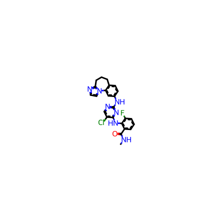 CNC(=O)c1cccc(F)c1Nc1nc(Nc2ccc3c(c2)-n2ccnc2CCC3)ncc1Cl